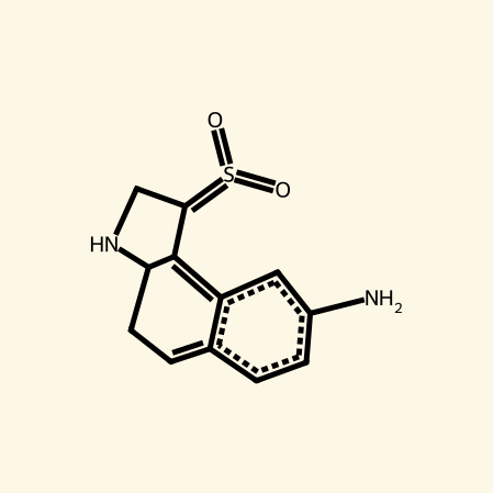 Nc1ccc2c(c1)=C1C(=S(=O)=O)CNC1CC=2